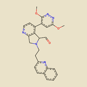 COc1cc(-c2ccnc3c2C(C=O)N(CCc2ccc4ccccc4n2)C3)c(OC)nn1